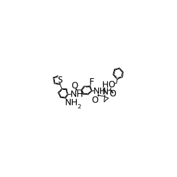 Nc1ccc(-c2cccs2)cc1NC(=O)c1ccc(NC(=O)C2(NC(=O)OCc3ccccc3)CC2)c(F)c1